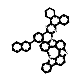 C1=Cc2c(c3ccccc3c3nc(-n4c5ccc6sc7ccc8c9ccccc9n9c%10cccc4c%10c5c6c7c89)c(-c4ccc(-c5ccc6ccccc6c5)cc4)nc23)CC1